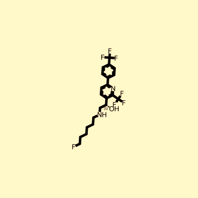 O[C@H](CNCCCCCCF)c1ccc(-c2ccc(C(F)(F)F)cc2)nc1C(F)(F)F